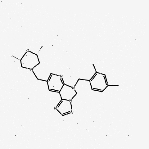 Cc1ccc(CN2Cn3ncnc3-c3cc(CN4C[C@@H](C)O[C@@H](C)C4)cnc32)c(C)c1